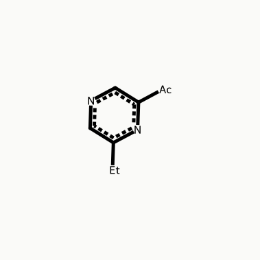 CCc1cncc(C(C)=O)n1